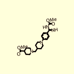 COC(=O)NC(=N)c1ccc(N2CCC(CN3CCC(C(=O)OC)CC3)CC2)cc1